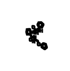 O=C(Nc1ccccc1)Nc1ccccc1-c1nc(COc2ccccc2)no1